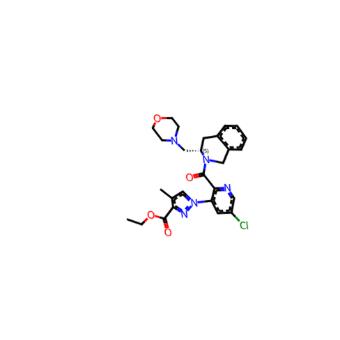 CCOC(=O)c1nn(-c2cc(Cl)cnc2C(=O)N2Cc3ccccc3C[C@H]2CN2CCOCC2)cc1C